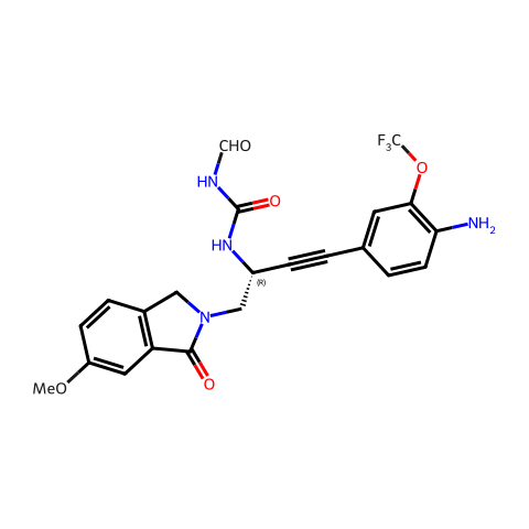 COc1ccc2c(c1)C(=O)N(C[C@@H](C#Cc1ccc(N)c(OC(F)(F)F)c1)NC(=O)NC=O)C2